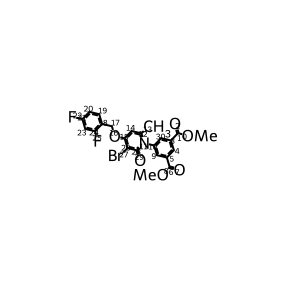 COC(=O)c1cc(C(=O)OC)cc(-n2c(C)cc(OCc3ccc(F)cc3F)c(Br)c2=O)c1